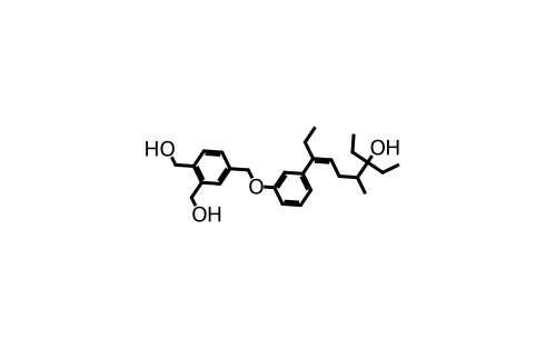 CC/C(=C/CC(C)C(O)(CC)CC)c1cccc(OCc2ccc(CO)c(CO)c2)c1